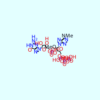 CNc1ncnc2c1ncn2[C@@H]1OC(COP(=O)(O)OP(=O)(O)OP(=O)(O)O)[C@@H](OP(=O)(O)OC[C@H]2O[C@@H](n3cnc4c(=O)[nH]c(N)nc43)[C@H](O)[C@@H]2O)[C@H]1OC